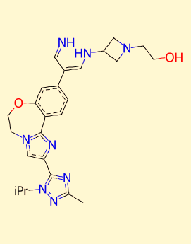 Cc1nc(-c2cn3c(n2)-c2ccc(/C(C=N)=C/NC4CN(CCO)C4)cc2OCC3)n(C(C)C)n1